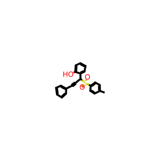 Cc1ccc(S(=O)(=O)C(C#Cc2ccccc2)c2ccccc2O)cc1